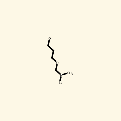 CCN(C)COCCC[O]